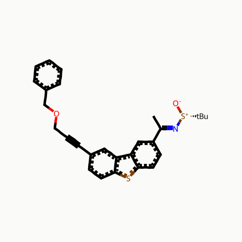 C/C(=N\[S@+]([O-])C(C)(C)C)c1ccc2sc3ccc(C#CCOCc4ccccc4)cc3c2c1